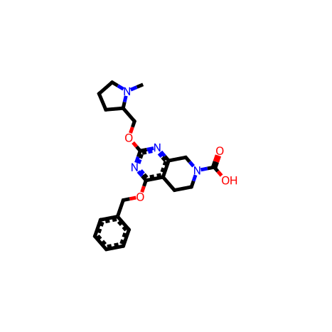 CN1CCCC1COc1nc2c(c(OCc3ccccc3)n1)CCN(C(=O)O)C2